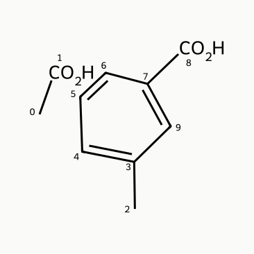 CC(=O)O.Cc1cccc(C(=O)O)c1